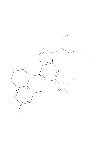 CCC(COC)n1nnc2c(N3CCCc4cc(Cl)cc(C)c43)nc(S(C)(=O)=O)cc21